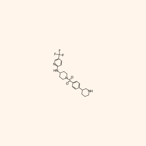 O=S(=O)(c1ccc(C2CCCNC2)cc1)N1CCC(Nc2ccc(C(F)(F)F)cn2)CC1